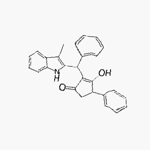 Cc1c(C(C2=C(O)C(c3ccccc3)CC2=O)c2ccccc2)[nH]c2ccccc12